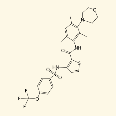 Cc1cc(C)c(N2CCOCC2)c(C)c1NC(=O)c1sccc1NS(=O)(=O)c1ccc(OC(F)(F)F)cc1